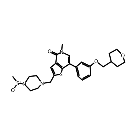 Cn1cc(-c2cccc(OCC3CCOCC3)c2)c2sc(CN3CCN([S+](C)[O-])CC3)cc2c1=O